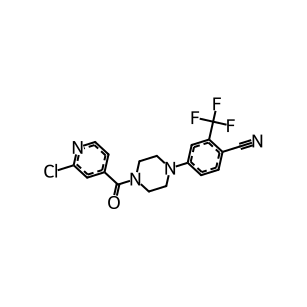 N#Cc1ccc(N2CCN(C(=O)c3ccnc(Cl)c3)CC2)cc1C(F)(F)F